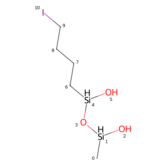 C[SiH](O)O[SiH](O)CCCCI